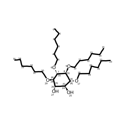 CCCCCCO[C@@H]1[C@@H](OCCCCCC)[C@H](OCCCCCC)[C@@H](O)[C@H](O)[C@H]1OCCCCCC